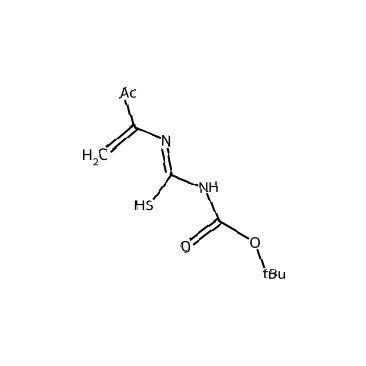 C=C(/N=C(\S)NC(=O)OC(C)(C)C)C(C)=O